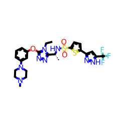 CCn1c(Oc2cccc(N3CCN(C)CC3)c2)nnc1[C@@H](C)NS(=O)(=O)c1ccc(-c2cc(C(F)(F)F)[nH]n2)s1